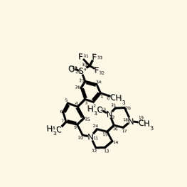 Cc1cc(-c2ccc(C)c(CN3CCCC(C4CN(C)CCN4C)C3)c2)cc([S+]([O-])C(F)(F)F)c1